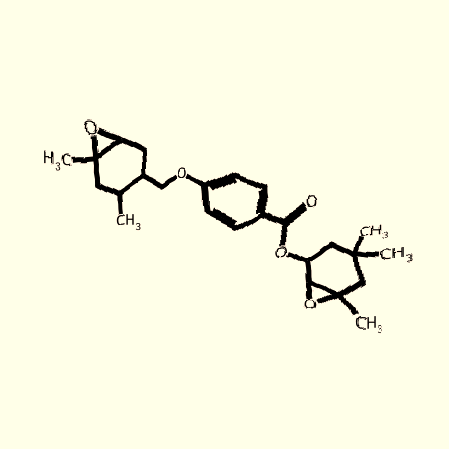 CC1CC2(C)OC2CC1COc1ccc(C(=O)OC2CC(C)(C)CC3(C)OC23)cc1